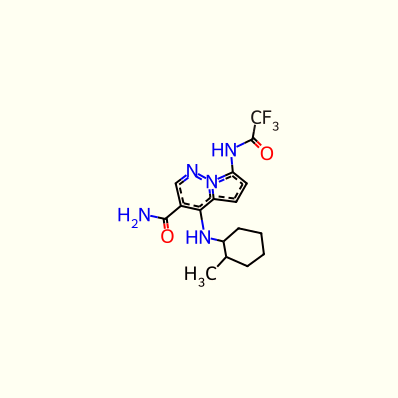 CC1CCCCC1Nc1c(C(N)=O)cnn2c(NC(=O)C(F)(F)F)ccc12